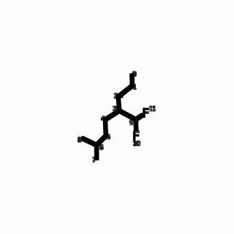 CC[CH]C(CCC(C)C)C(F)F